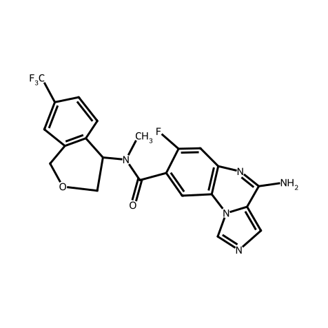 CN(C(=O)c1cc2c(cc1F)nc(N)c1cncn12)C1COCc2cc(C(F)(F)F)ccc21